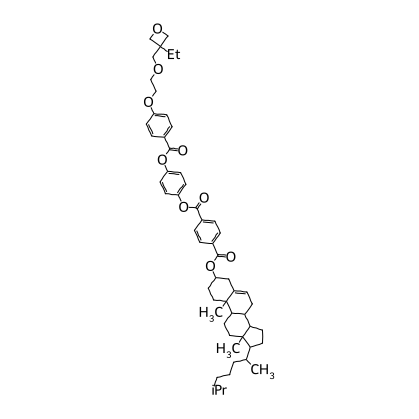 CCC1(COCCOc2ccc(C(=O)Oc3ccc(OC(=O)c4ccc(C(=O)OC5CCC6(C)C(=CCC7C6CCC6(C)C(C(C)CCCC(C)C)CCC76)C5)cc4)cc3)cc2)COC1